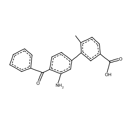 Cc1ccc(C(=O)O)cc1-c1ccc(C(=O)c2ccccc2)c(N)c1